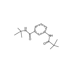 CC(C)(C)NC(=O)c1cccc(NC(=O)C(C)(C)C)c1